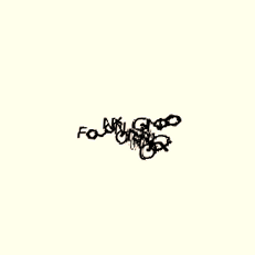 C[C@@H]1CN(CC(=O)N2CC(C)(C)c3ncc(Cc4ccc(F)cc4)cc32)[C@H](C(=O)N2Cc3ccccc3C2)CN1C(=O)OC(C)(C)C